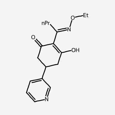 CCC/C(=N\OCC)C1=C(O)CC(c2cccnc2)CC1=O